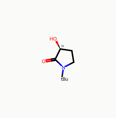 CC(C)(C)N1CC[C@H](O)C1=O